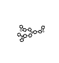 c1ccc(-n2c3ccccc3c3cc(-c4cccc(N(c5ccc(-c6ccc7sc8ccccc8c7c6)cc5)c5cccc(-c6ccc7oc8ccccc8c7c6)c5)c4)ccc32)cc1